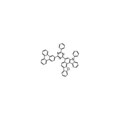 c1ccc(-c2nc(-c3ccc4c5ccccc5c5ccccc5c4c3)nc(-c3cc4c(c5ccccc5n4-c4ccccc4)c4c3ccc3c5ccccc5oc34)n2)cc1